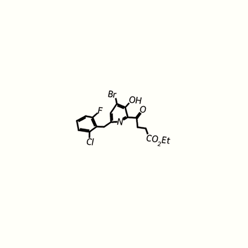 CCOC(=O)CCC(=O)c1nc(Cc2c(F)cccc2Cl)cc(Br)c1O